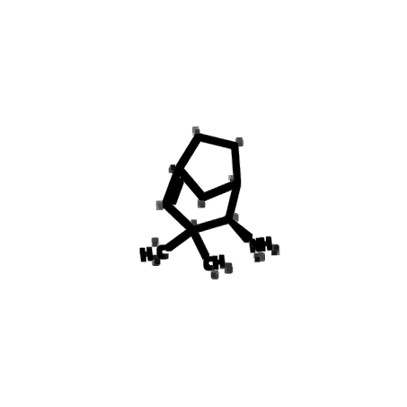 CC1(C)C=C2CCC(C2)[C@H]1N